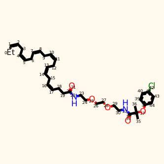 CC/C=C\C/C=C\C/C=C\C/C=C\C/C=C\C/C=C\CCC(=O)NCCOCCOCCNC(=O)C(C)(C)Oc1ccc(Cl)cc1